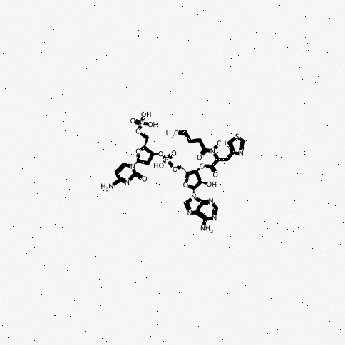 C=CCCC(=O)N(C)C(Cc1cscn1)C(=O)O[C@H]1[C@@H](O)[C@H](n2cnc3c(N)ncnc32)O[C@@H]1COP(=O)(O)O[C@H]1C[C@H](n2ccc(N)nc2=O)O[C@H]1COP(=O)(O)O